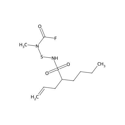 C=CCC(CCCC)S(=O)(=O)NSN(C)C(=O)F